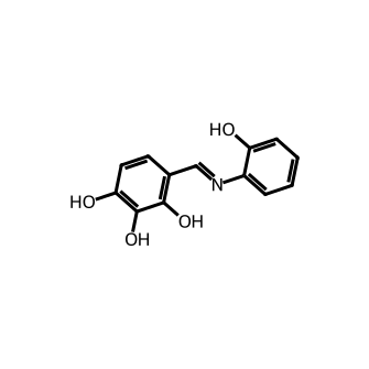 Oc1ccccc1N=Cc1ccc(O)c(O)c1O